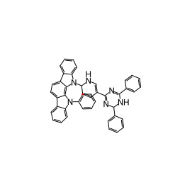 C1=CC(n2c3ccccc3c3ccc4c5ccccc5n(-c5ccccc5)c4c32)NC=C1C1=NC(c2ccccc2)NC(c2ccccc2)=N1